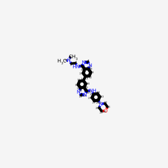 CN(C)CCNc1ncnc2ccc(-c3ccc4ncnc(Nc5ccc(N6CCOCC6)cc5)c4c3)cc12